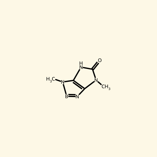 Cn1bnc2c1[nH]c(=O)n2C